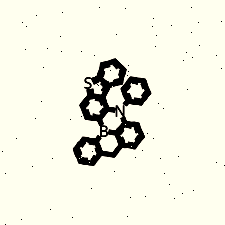 c1ccc(N2c3cccc4c3B(c3ccccc3C4)c3ccc4sc5ccccc5c4c32)cc1